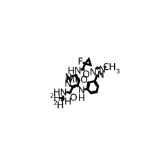 [2H]C([2H])([2H])NC(=O)c1nnc(NC(=O)C2(F)CC2)cc1Nc1cccc(-c2ncn(C)n2)c1OC